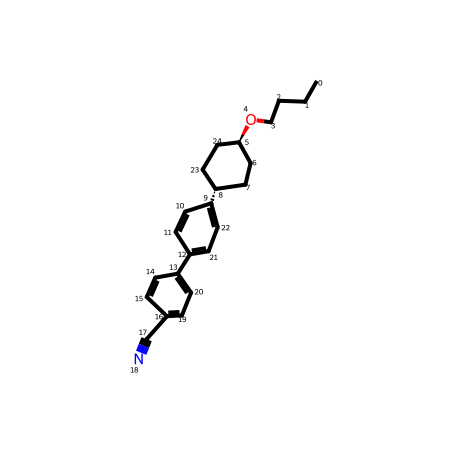 CCCCO[C@H]1CC[C@H](c2ccc(-c3ccc(C#N)cc3)cc2)CC1